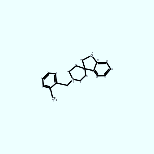 FC(F)(F)c1ccccc1CN1CCC2(CC1)COc1ccccc12